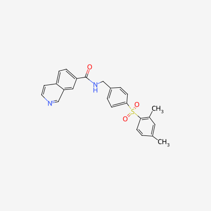 Cc1ccc(S(=O)(=O)c2ccc(CNC(=O)c3ccc4ccncc4c3)cc2)c(C)c1